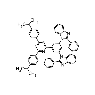 CC(C)c1ccc(-c2nc(-c3ccc(C(C)C)cc3)nc(-c3cc(-n4c(C5=CCCC=C5)nc5ccccc54)cc(-n4c(-c5ccccc5)nc5ccccc54)c3)n2)cc1